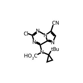 CC(C)(C)C1(N(C(=O)O)c2nc(Cl)nn3c(C#N)cnc23)CC1